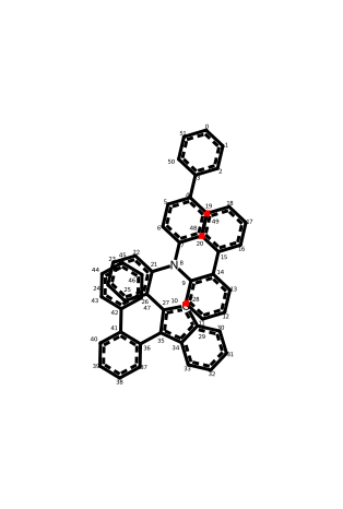 c1ccc(-c2ccc(N(c3ccccc3-c3ccccc3)c3ccccc3-c3oc4ccccc4c3-c3ccccc3-c3ccccc3)cc2)cc1